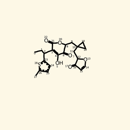 CCC(C1=C(O)C(=O)C(CC2(CC3OC=CC3=O)CC2)OC1=O)c1ccc(C)s1